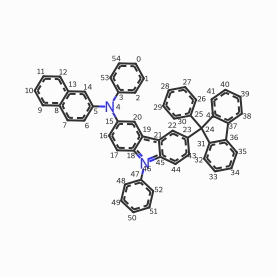 c1ccc(N(c2ccc3ccccc3c2)c2ccc3c(c2)c2cc(C4(c5ccccc5)c5ccccc5-c5ccccc54)ccc2n3-c2ccccc2)cc1